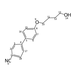 N#Cc1ccc(-c2ccc(OCCCCO)cc2)cc1